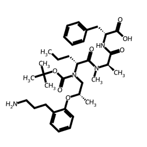 CCC[C@H](C(=O)N(C)[C@H](C)C(=O)N[C@H](Cc1ccccc1)C(=O)O)N(C[C@H](C)Oc1ccccc1CCCN)C(=O)OC(C)(C)C